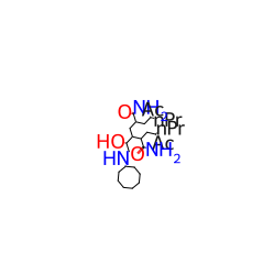 CCCC(CC(CC(C(O)CNC1CCCCCCC1)C(CC(CCC)C(C)=O)C(N)=O)C(N)=O)C(C)=O